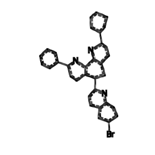 Brc1ccc2nc(-c3cc4ccc(-c5ccccc5)nc4c4nc(-c5ccccc5)ccc34)ccc2c1